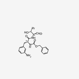 CC(C)C(O)[C@@H]([C]=O)NC(=O)[C@H](Cc1cccc(N)c1)NC(=O)OCc1ccccc1